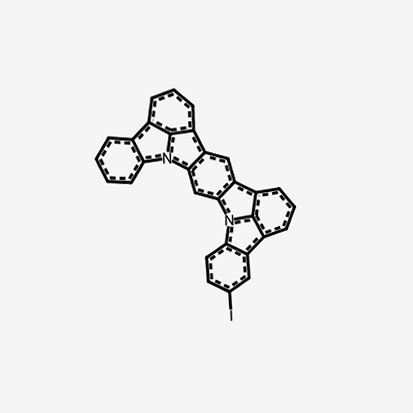 Ic1ccc2c(c1)c1cccc3c4cc5c6cccc7c8ccccc8n(c5cc4n2c13)c76